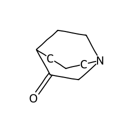 O=C1CN2CCCC1CC2